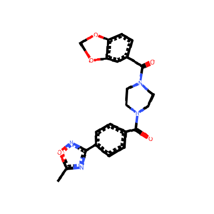 Cc1nc(-c2ccc(C(=O)N3CCN(C(=O)c4ccc5c(c4)OCO5)CC3)cc2)no1